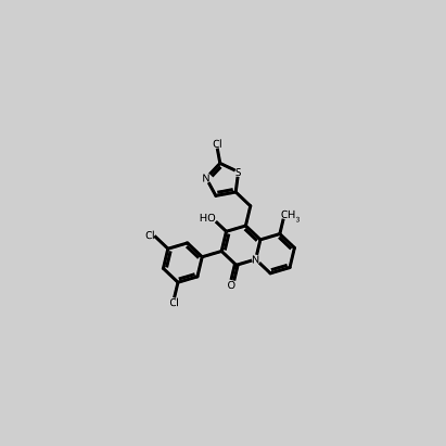 Cc1cccn2c(=O)c(-c3cc(Cl)cc(Cl)c3)c(O)c(Cc3cnc(Cl)s3)c12